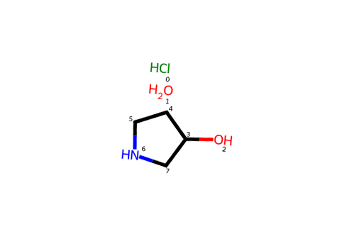 Cl.O.OC1CCNC1